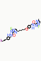 Cc1ccn2c(F)nc(C(=O)NCc3ccc(OCCCCCCc4ccn5c(F)nc(C(=O)NCc6ccc(C#CCI)cc6)c5n4)cc3)c2n1